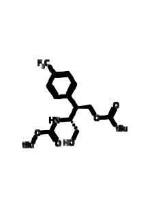 CC(C)(C)OC(=O)N[C@@H](CO)[C@H](COC(=O)C(C)(C)C)c1ccc(C(F)(F)F)cc1